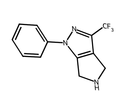 FC(F)(F)c1nn(-c2ccccc2)c2c1CNC2